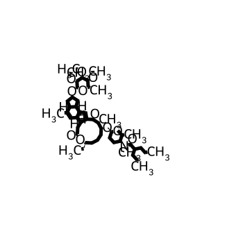 CCCC(CCC)C(=O)N(C)[C@H]1CC[C@H](O[C@H]2CCC[C@H](CC)OC(=O)C[C@@H]3C(=C[C@@H]4[C@H]3C=C(C)[C@@H]3C[C@@H](O[C@@H]5OC(C)[C@H](OC)C(OC)C5OC)C[C@@H]43)C(=O)[C@@H]2C)OC1C